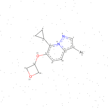 CC(=O)c1cnn2c(C3CC3)c(OC3COC3)ccc12